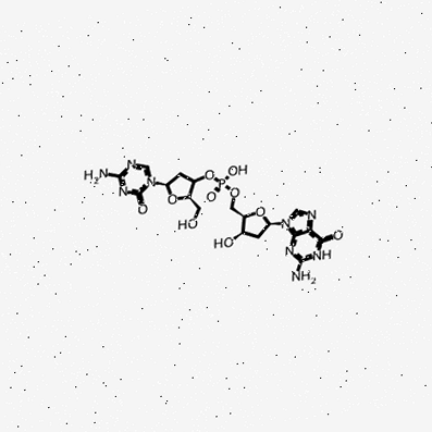 Nc1ncn([C@H]2CC(OP(=O)(O)OC[C@H]3O[C@@H](n4cnc5c(=O)[nH]c(N)nc54)C[C@H]3O)[C@@H](CO)O2)c(=O)n1